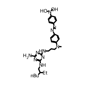 CCCCC(CC)CNc1nc(N)nc(NCCCN(C)c2ccc(N=Nc3ccc(N(O)O)cc3)cc2)n1